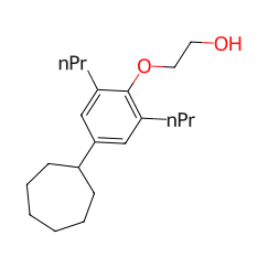 CCCc1cc(C2CCCCCC2)cc(CCC)c1OCCO